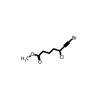 COC(=O)CCCC(Cl)C#CBr